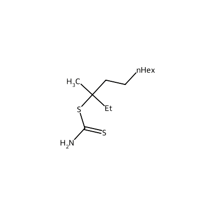 CCCCCCCCC(C)(CC)SC(N)=S